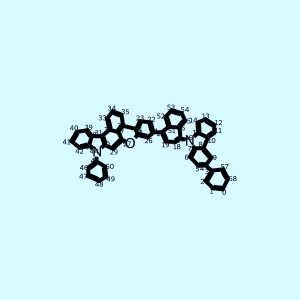 c1ccc(-c2ccc3c(c2)c2ccccc2n3-c2ccc(-c3ccc4c(c3)Oc3cc5c(c6cccc-4c36)c3ccccc3n5-c3ccccc3)c3ccccc23)cc1